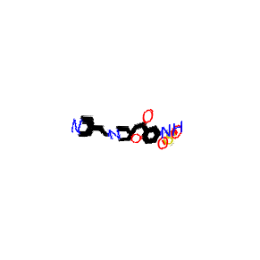 CS(=O)(=O)Nc1ccc2c(c1)C(=O)CC1(CCN(CCc3ccncc3)CC1)O2